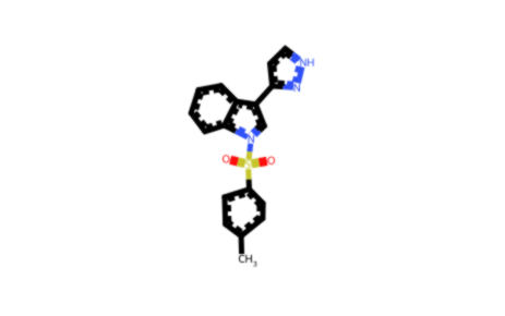 Cc1ccc(S(=O)(=O)n2cc(-c3cc[nH]n3)c3ccccc32)cc1